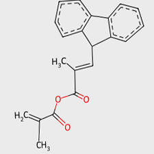 C=C(C)C(=O)OC(=O)C(C)=CC1c2ccccc2-c2ccccc21